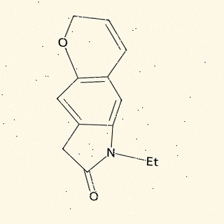 CCN1C(=O)Cc2cc3c(cc21)C=CCO3